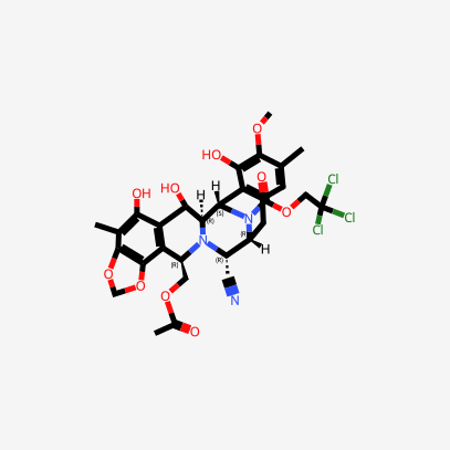 COc1c(C)cc2c(c1O)[C@H]1[C@@H]3C(O)c4c(O)c(C)c5c(c4[C@H](COC(C)=O)N3[C@@H](C#N)[C@@H](C2)N1C(=O)OCC(Cl)(Cl)Cl)OCO5